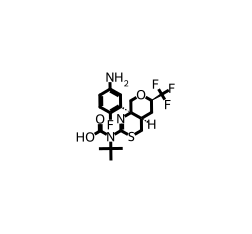 CC(C)(C)N(C(=O)O)C1=N[C@@]2(c3cc(N)ccc3F)CO[C@@H](C(F)(F)F)C[C@H]2CS1